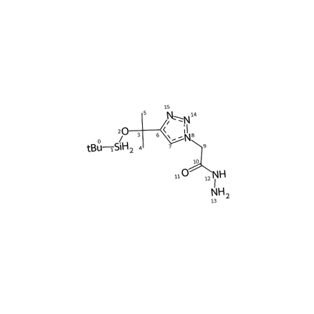 CC(C)(C)[SiH2]OC(C)(C)c1cn(CC(=O)NN)nn1